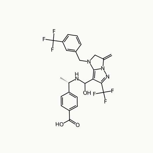 C=C1CN(Cc2cccc(C(F)(F)F)c2)c2c(C(O)N[C@@H](C)c3ccc(C(=O)O)cc3)c(C(F)(F)F)nn21